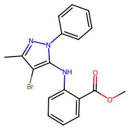 COC(=O)c1ccccc1Nc1c(Br)c(C)nn1-c1ccccc1